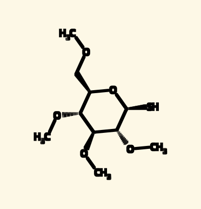 COC[C@H]1O[C@@H](S)[C@H](OC)[C@@H](OC)[C@@H]1OC